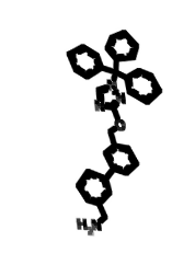 NCc1cccc(-c2cccc(COc3ncn(C(c4ccccc4)(c4ccccc4)c4ccccc4)n3)c2)c1